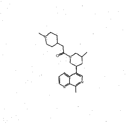 Cc1ncc(C2CC(C)CN(C(=O)CC3CCN(C)CC3)C2)c2cccnc12